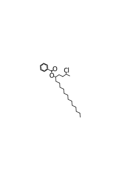 CCCCCCCCCCCCCC(CCC(C)Cl)OC(=O)c1ccccc1